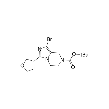 CC(C)(C)OC(=O)N1CCn2c(C3CCOC3)nc(Br)c2C1